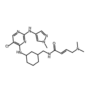 CN(C)C/C=C/C(=O)NCC1CCCC(Nc2nc(Nc3cnn(C)c3)ncc2Cl)C1